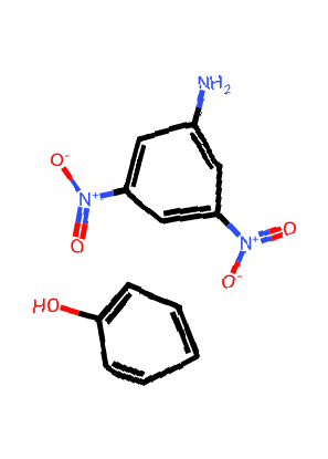 Nc1cc([N+](=O)[O-])cc([N+](=O)[O-])c1.Oc1ccccc1